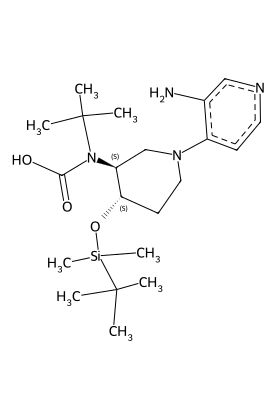 CC(C)(C)N(C(=O)O)[C@H]1CN(c2ccncc2N)CC[C@@H]1O[Si](C)(C)C(C)(C)C